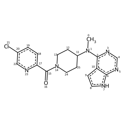 CN(c1ncnc2[nH]ccc12)C1CCN(C(=O)c2ccc(Cl)cn2)CC1